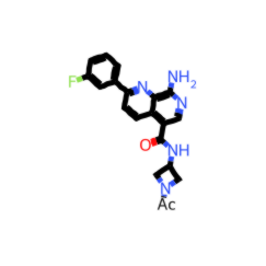 CC(=O)N1CC(NC(=O)c2cnc(N)c3nc(-c4cccc(F)c4)ccc23)C1